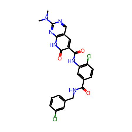 CN(C)c1ncc2cc(C(=O)Nc3cc(C(=O)NCc4cccc(Cl)c4)ccc3Cl)c(=O)[nH]c2n1